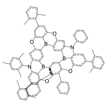 Cc1cc(C)c(N2c3cc4c(cc3B3c5ccc(-c6ccccc6)cc5Oc5cc(-c6c(C)cccc6C)cc2c53)B2c3cc5c(cc3Oc3cc(-c6c(C)cccc6C)cc(c32)O4)N(c2ccccc2)c2cc(-c3c(C)cccc3C)cc3c2B5c2cccc(-c4ccccc4)c2O3)c(C)c1